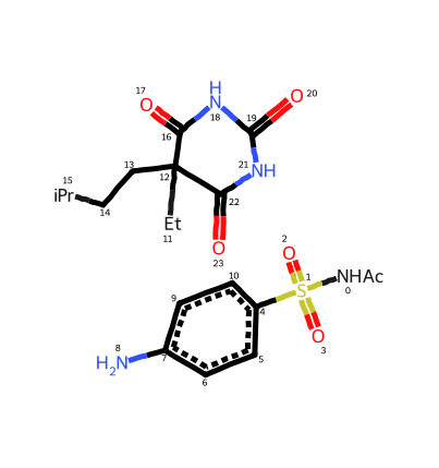 CC(=O)NS(=O)(=O)c1ccc(N)cc1.CCC1(CCC(C)C)C(=O)NC(=O)NC1=O